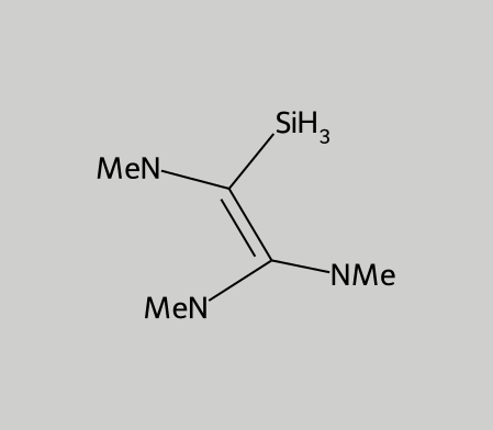 CNC([SiH3])=C(NC)NC